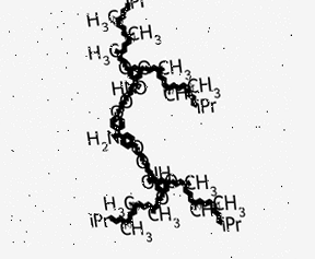 CC(C)CCC[C@@H](C)CCC[C@@H](C)CCCC(C)CCOc1cc(OCCC(C)CCC[C@H](C)CCC[C@H](C)CCCC(C)C)cc(C(=O)NCCOCCOc2ccc(C(N)c3ccc(OCCOCCNC(=O)c4cc(OCCC(C)CCC[C@H](C)CCC[C@H](C)CCCC(C)C)cc(OCCC(C)CCC[C@H](C)CCC[C@H](C)CCCC(C)C)c4)cc3)cc2)c1